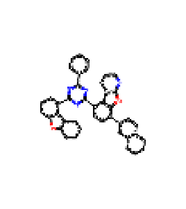 c1ccc(-c2nc(-c3cccc4oc5ccccc5c34)nc(-c3ccc(-c4ccc5ccccc5c4)c4oc5ncccc5c34)n2)cc1